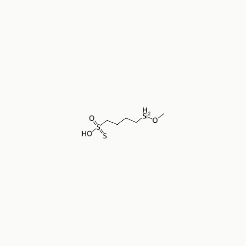 CO[SiH2]CCCCS(=O)(O)=S